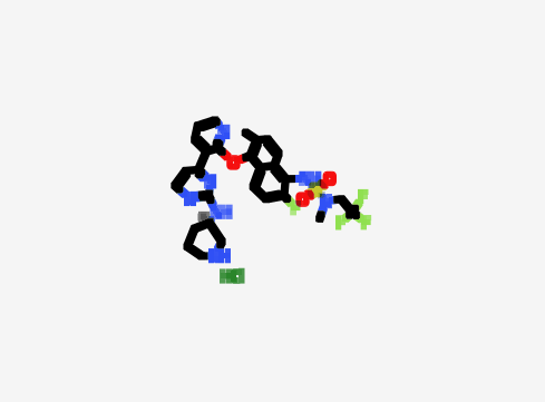 Cc1ccc2c(NS(=O)(=O)N(C)CC(F)(F)F)c(F)ccc2c1Oc1ncccc1-c1ccnc(N[C@H]2CCCNC2)n1.Cl